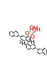 [2H]c1ccc2cc(-c3ccc4ccccc4c3)ccc2c1-c1c([2H])c(OCCO)c(OCCO)c2cc(-c3ccc4ccccc4c3)ccc12